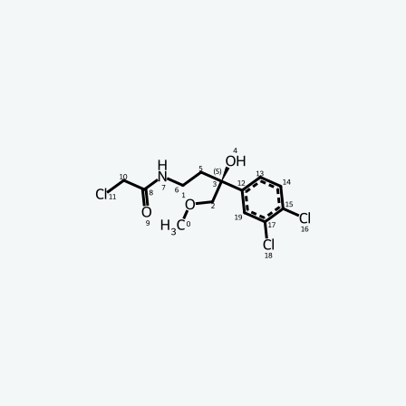 COC[C@](O)(CCNC(=O)CCl)c1ccc(Cl)c(Cl)c1